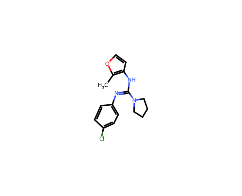 Cc1occc1NC(=Nc1ccc(Cl)cc1)N1CCCC1